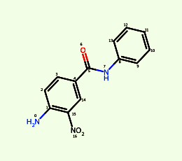 Nc1ccc(C(=O)Nc2ccccc2)cc1[N+](=O)[O-]